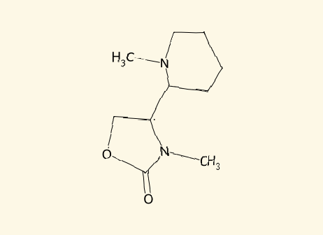 CN1[C](C2CCCCN2C)COC1=O